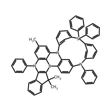 Cc1cc2c3c(c1)N1c4cccc(c4)[Si](c4ccccc4)(c4ccccc4)c4cccc(c4)N(c4ccccc4)c4ccc(c1c4)B3C1=C(c3ccccc3C1(C)C)N2c1ccccc1